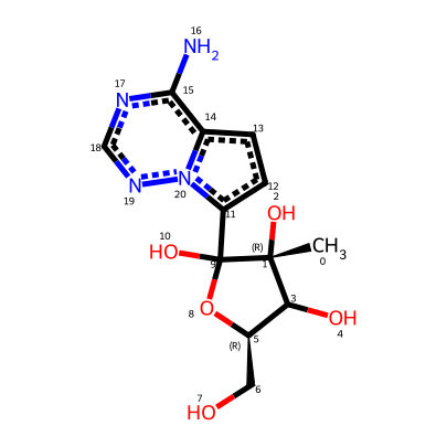 C[C@@]1(O)C(O)[C@@H](CO)OC1(O)c1ccc2c(N)ncnn12